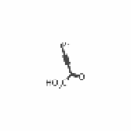 CC(C)C#CC(=O)C(=O)O